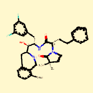 CCC(C)[C@@]1(NC(C)=O)CCN([C@@H](CCc2ccccc2)C(=O)N[C@@H](Cc2cc(F)cc(F)c2)[C@H](O)C2Cc3cccc(OC)c3CN2)C1=O